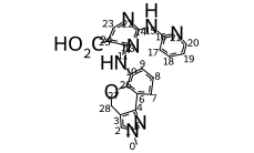 Cn1cc2c(n1)-c1cccc(Nc3nc(Nc4ccccn4)ncc3C(=O)O)c1OC2